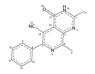 Cc1nc2c(C)nc(-c3ccccc3)c(C#N)c2c(=O)[nH]1